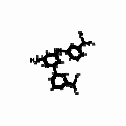 Nc1nc(Nc2ccnc(C(F)F)c2)nc(-c2cccc(C(F)F)n2)n1